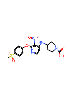 CS(=O)(=O)c1ccc(Oc2nccc(NC3CCN(C(=O)O)CC3)c2[N+](=O)[O-])cc1